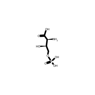 N[C@H](C(=O)O)[C@H](O)COP(=O)(O)O